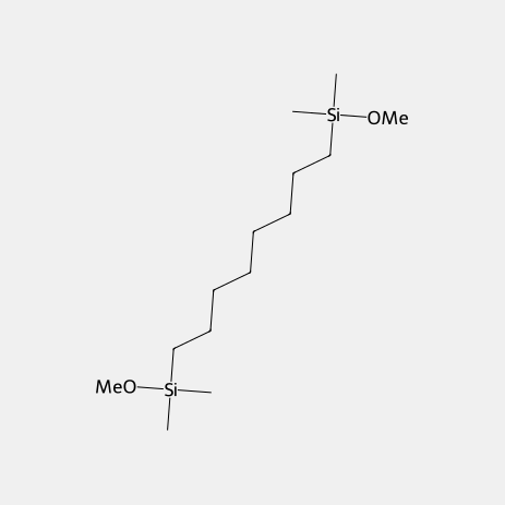 CO[Si](C)(C)CCCCCCCC[Si](C)(C)OC